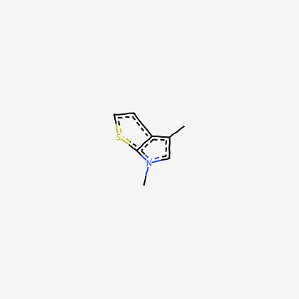 Cc1cn(C)c2sccc12